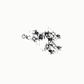 Cc1cc(-c2cc(C)c(Nc3ncc(Cl)c(Nc4cc(C)[nH]n4)n3)cc2C)[nH]n1.Cc1cc(-c2cc(C)c(Nc3ncc(Cl)c(Nc4cc(C)[nH]n4)n3)cc2C)on1.Cc1cc(Nc2nc(Nc3cc(C)c([C@H]4CC[C@@H](N5CCCCC5)CC4)cc3C)ncc2C(F)(F)F)n[nH]1